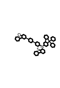 c1ccc(C2(c3ccccc3)c3ccccc3-c3cc(N(c4ccc(-c5ccc(-c6ccc7oc8ccccc8c7c6)cc5)cc4)c4cccc5c4sc4ccccc45)ccc32)cc1